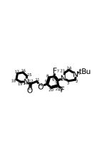 CC(C)(C)N1CCN(c2c(F)cc(OCC(=O)N3CCCCC3)cc2F)CC1